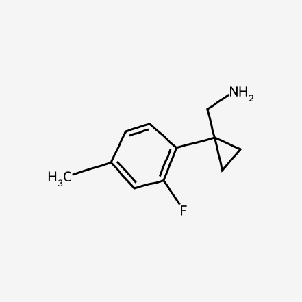 Cc1ccc(C2(CN)CC2)c(F)c1